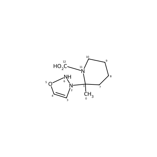 CC1(N2C=CON2)CCCCN1C(=O)O